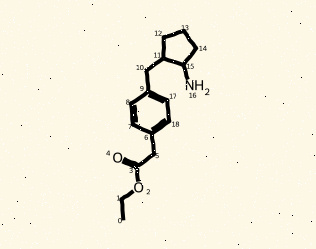 CCOC(=O)Cc1ccc(CC2CCCC2N)cc1